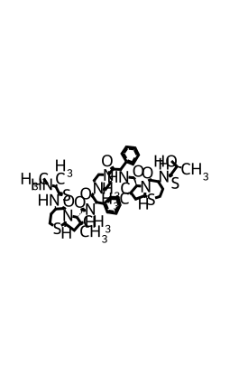 CN[C@@H](C)C(=S)N[C@H]1CCS[C@H]2CC(C)(C)[C@@H](C(=O)N[C@H](C(=O)N3CCN(C(=O)[C@@H](NC(=O)[C@H]4N5C(=O)[C@@H](NC(=S)[C@H](C)O)CCS[C@H]5CC4(C)C)c4ccccc4)CC3)c3ccccc3)N2C1=O